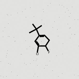 CC(C)(C)C1=CCC(F)C(Cl)=C1